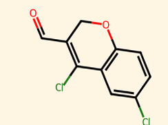 O=CC1=C(Cl)c2cc(Cl)ccc2OC1